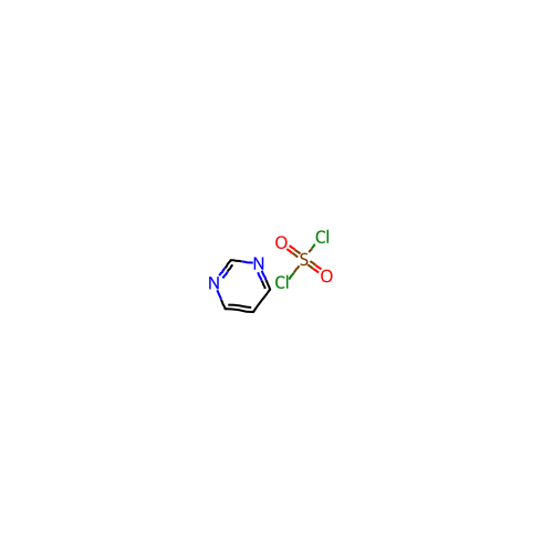 O=S(=O)(Cl)Cl.c1cncnc1